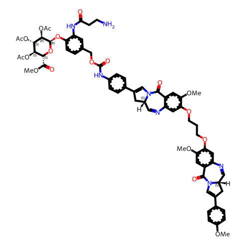 COC(=O)[C@H]1O[C@H](Oc2ccc(COC(=O)Nc3ccc(C4=CN5C(=O)c6cc(OC)c(OCCCOc7cc8c(cc7OC)C(=O)N7C=C(c9ccc(OC)cc9)C[C@H]7C=N8)cc6N=C[C@@H]5C4)cc3)cc2NC(=O)CCN)[C@H](OC(C)=O)[C@@H](OC(C)=O)[C@@H]1OC(C)=O